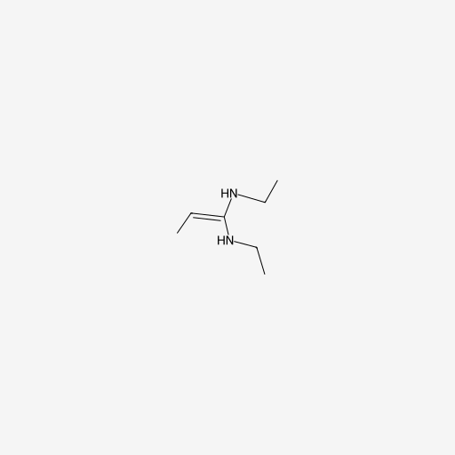 CC=C(NCC)NCC